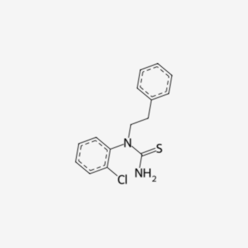 NC(=S)N(CCc1ccccc1)c1ccccc1Cl